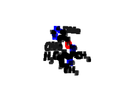 COc1ncnc(OC)c1CON=C(C)c1cc(C)cc(C)n1